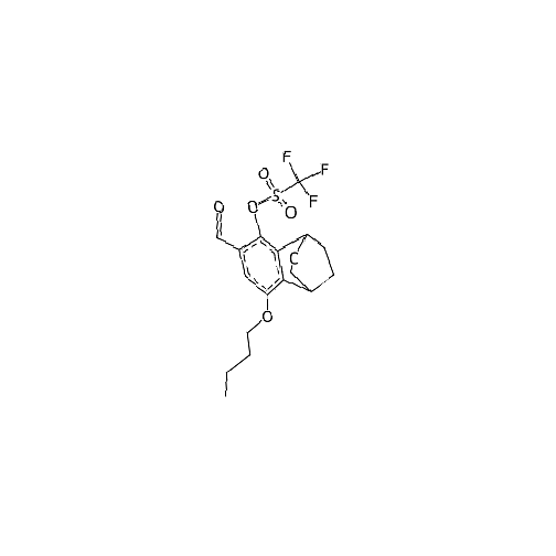 CCCCOc1cc(C=O)c(OS(=O)(=O)C(F)(F)F)c2c1C1CCC2CC1